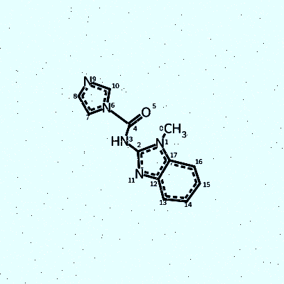 Cn1c(NC(=O)n2ccnc2)nc2ccccc21